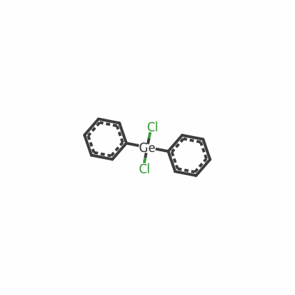 [Cl][Ge]([Cl])([c]1ccccc1)[c]1ccccc1